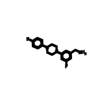 NCc1cc(F)cc(N2CCN(c3ccc(F)cc3)CC2)c1